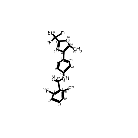 CCC(F)(F)c1nc(-c2ccc(NC(=O)c3c(F)cccc3F)cc2)c(C)o1